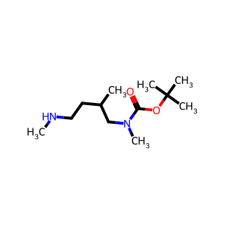 CNCCC(C)CN(C)C(=O)OC(C)(C)C